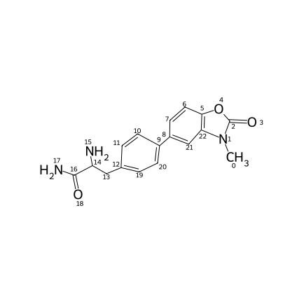 Cn1c(=O)oc2ccc(-c3ccc(CC(N)C(N)=O)cc3)cc21